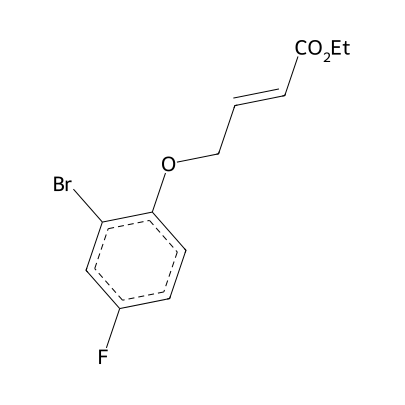 CCOC(=O)/C=C/COc1ccc(F)cc1Br